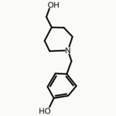 OCC1CCN(Cc2ccc(O)cc2)CC1